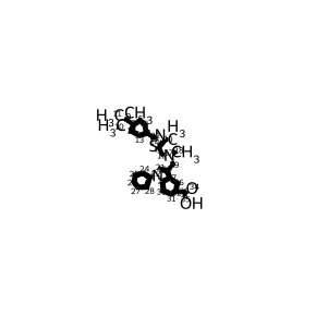 Cc1nc(-c2ccc(C(C)(C)C)cc2)sc1CN(C)Cc1cn(-c2ccccc2)c2ccc(C(=O)O)cc12